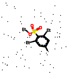 CCOS(=O)(=O)c1c(CC)cc(C)cc1CC